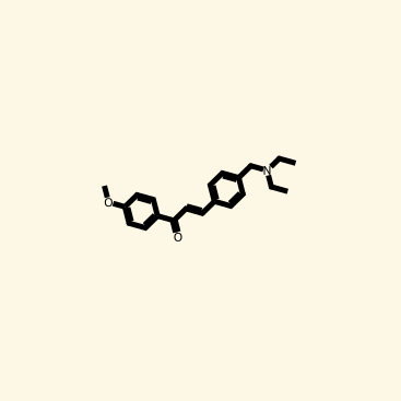 CCN(CC)Cc1ccc(C=CC(=O)c2ccc(OC)cc2)cc1